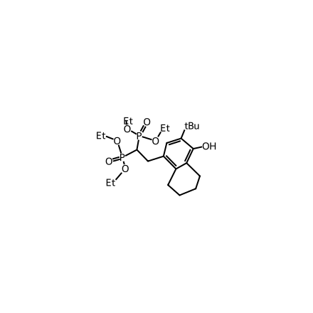 CCOP(=O)(OCC)C(Cc1cc(C(C)(C)C)c(O)c2c1CCCC2)P(=O)(OCC)OCC